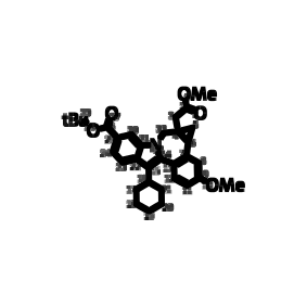 COC(=O)CC12CC1c1cc(OC)ccc1-c1c(C3CCCCC3)c3ccc(C(=O)OC(C)(C)C)cc3n1C2